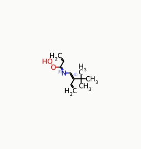 C=C/C(=C\N=C(/C=C)OO)C(C)(C)C